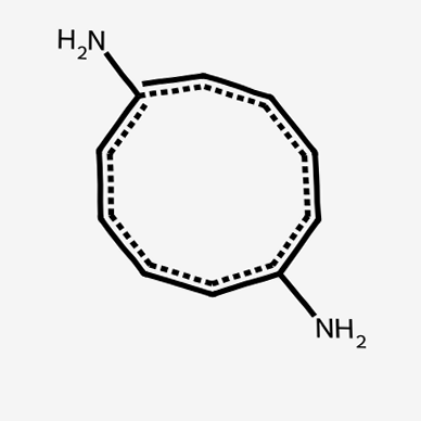 Nc1ccccc(N)cccc1